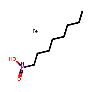 CCCCCCCC[PH](=O)O.[Fe]